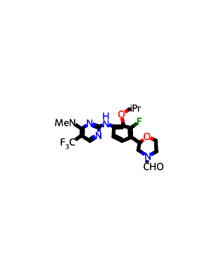 CNc1nc(Nc2ccc(C3CN(C=O)CCO3)c(F)c2OC(C)C)ncc1C(F)(F)F